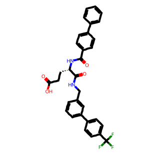 O=C(O)CC[C@H](NC(=O)c1ccc(-c2ccccc2)cc1)C(=O)NCc1cccc(-c2ccc(C(F)(F)F)cc2)c1